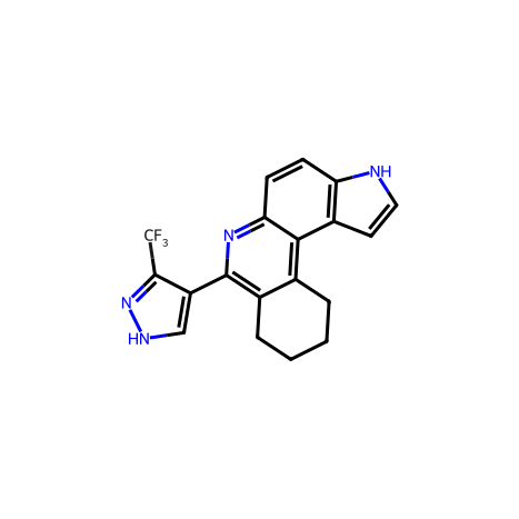 FC(F)(F)c1n[nH]cc1-c1nc2ccc3[nH]ccc3c2c2c1CCCC2